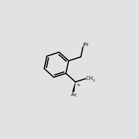 CC(=O)[C@H](C)c1ccccc1CC(C)C